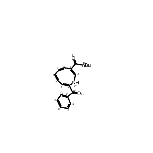 CCCCC(=O)c1cccccc(C(=O)c2ccccc2)[nH]c1